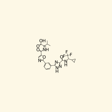 CC(C)[C@H](NC(=O)c1cnc(-c2cccc(-c3nc(C(=O)NC(C4CC4)C(F)(F)F)n[nH]3)c2)o1)C(=O)O